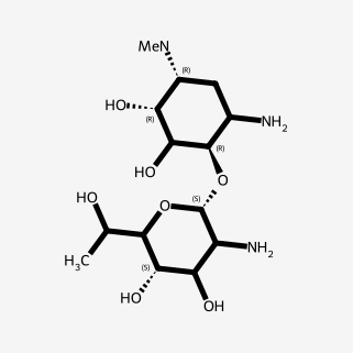 CN[C@@H]1CC(N)[C@@H](O[C@H]2OC(C(C)O)[C@@H](O)C(O)C2N)C(O)[C@@H]1O